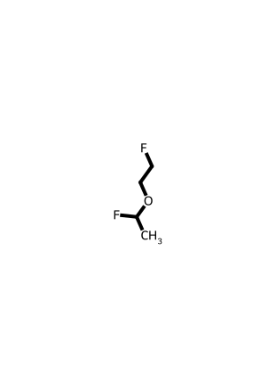 CC(F)OCCF